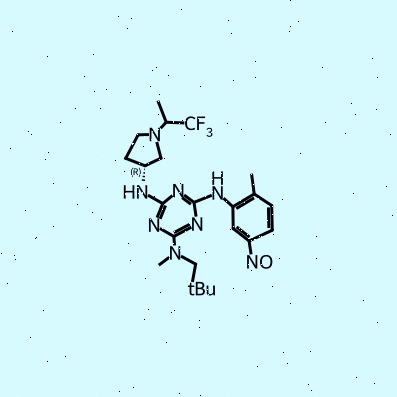 Cc1ccc(N=O)cc1Nc1nc(N[C@@H]2CCN(C(C)C(F)(F)F)C2)nc(N(C)CC(C)(C)C)n1